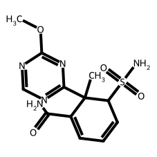 COc1ncnc(C2(C)C(C(N)=O)=CC=CC2S(N)(=O)=O)n1